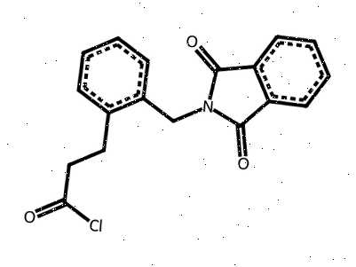 O=C(Cl)CCc1ccccc1CN1C(=O)c2ccccc2C1=O